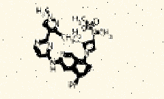 Cc1nn(C)cc1-c1nccc(Nc2cc3c(C(C)C)ccc(N4C[C@H](N(C)S(C)(=O)=O)[C@H]4C)c3cn2)n1